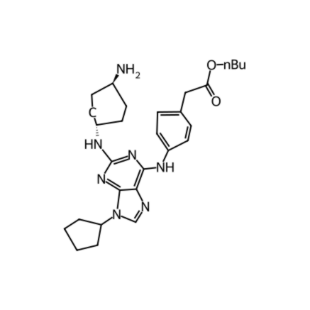 CCCCOC(=O)Cc1ccc(Nc2nc(N[C@H]3CC[C@H](N)CC3)nc3c2ncn3C2CCCC2)cc1